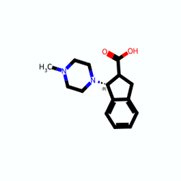 CN1CCN([C@H]2c3ccccc3CC2C(=O)O)CC1